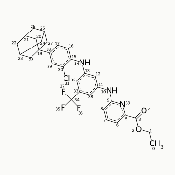 CCOC(=O)c1cccc(Nc2cc(Nc3ccc(C45CC6CC(CC(C6)C4)C5)cc3Cl)cc(C(F)(F)F)c2)n1